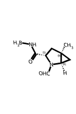 BNC(=O)[C@@H]1C[C@@]2(C)C[C@H]2N1C=O